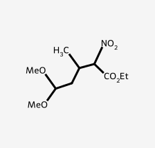 CCOC(=O)C(C(C)CC(OC)OC)[N+](=O)[O-]